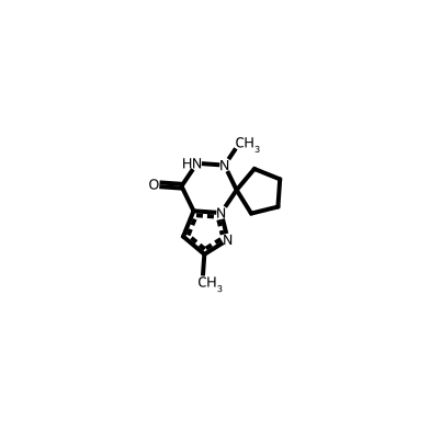 Cc1cc2n(n1)C1(CCCC1)N(C)NC2=O